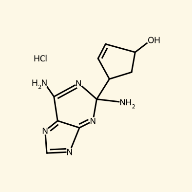 Cl.NC1=NC(N)(C2C=CC(O)C2)N=C2N=CN=C12